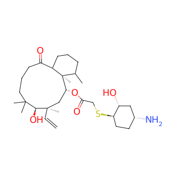 C=C[C@]1(C)C[C@@H](OC(=O)CS[C@@H]2CC[C@@H](N)C[C@H]2O)[C@]2(C)C(C)CCCC2C(=O)CCCC(C)(C)[C@@H]1O